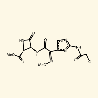 CON=C(C(=O)N[C@@H]1C(=O)N[C@@H]1C(=O)OC)c1csc(NC(=O)CCl)n1